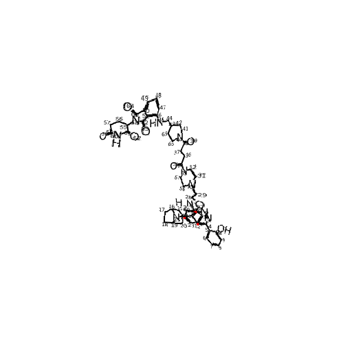 Nc1nnc(-c2ccccc2O)cc1N1CC2CCC(C1)N2c1cccc(OCCN2CCN(C(=O)CCC(=O)N3CCC(CNc4cccc5c4C(=O)N(C4CCC(=O)NC4=O)C5=O)CC3)CC2)c1